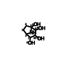 OC1C2CCC(O)(N2)C(O)C1O